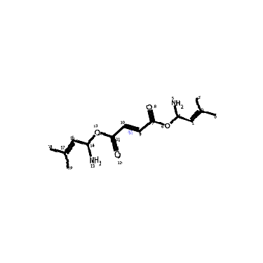 CC(C)=CC(N)OC(=O)/C=C/C(=O)OC(N)C=C(C)C